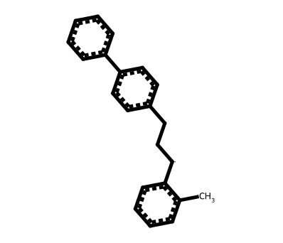 Cc1ccccc1[CH]CCc1ccc(-c2ccccc2)cc1